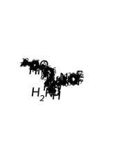 C[C@@H]1[C@H](NC(=O)c2ccc(C3CC3)cc2)CCCN1c1cnc(C(N)=O)c(Nc2cnn(C3CCC(F)(F)CC3)c2)n1